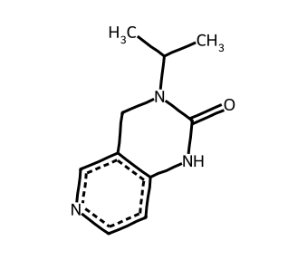 CC(C)N1Cc2cnccc2NC1=O